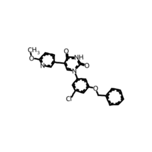 COc1ccc(-c2cn(-c3cc(Cl)cc(OCc4ccccc4)c3)c(=O)[nH]c2=O)cn1